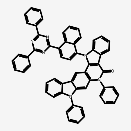 O=c1c2c3ccccc3n(-c3ccc(-c4nc(-c5ccccc5)nc(-c5ccccc5)n4)c4ccccc34)c2c2cc3c4ccccc4n(-c4ccccc4)c3cc2n1-c1ccccc1